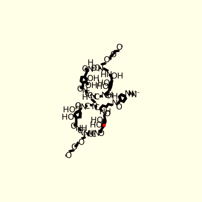 COCCOCCOCCN1CCNC(=O)c2ccc(c(O)c2O)C(=O)NCCN(CCN2CCNC(=O)c3ccc(c(O)c3O)C(=O)NCCN(CCOCCOCCOC)CCNC(O)c3ccc(c(O)c3O)C(=O)NCC2)CC(CCCCNC(=O)c2ccc(N=[N+]=[N-])cc2)NC(=O)c2ccc(c(O)c2O)C(=O)NCC1